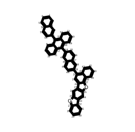 c1ccc2cc(-c3c4ccccc4c(-c4ccc5cc(-c6cc7c8cc9oc%10ccccc%10c9cc8oc7c7ccccc67)ccc5c4)c4ccccc34)ccc2c1